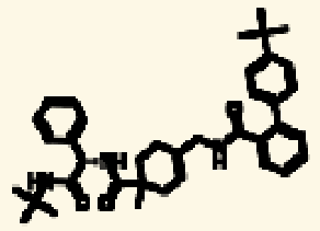 CC(C)(C)NC(=O)[C@@H](NC(=O)C1(C)CC=C(CNC(=O)c2ccccc2-c2ccc(C(C)(C)C)cc2)CC1)c1ccccc1